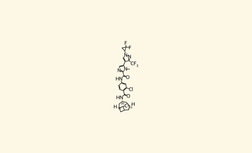 Cn1c(-c2cn(C3CC3(F)F)nc2C(F)(F)F)cnc1C(=O)Nc1ccc(C(=O)N[C@@H]2C[C@H]3CC4C[C@@H](C2)C4C3)c(Cl)c1